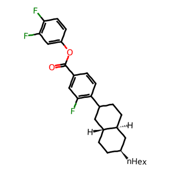 CCCCCC[C@H]1CC[C@@H]2CC(c3ccc(C(=O)Oc4ccc(F)c(F)c4)cc3F)CC[C@H]2C1